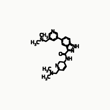 CN(C)CC1=NCC(NC(=O)c2n[nH]c3ccc(-c4cncc(CN(C)C)c4)cc23)C=C1